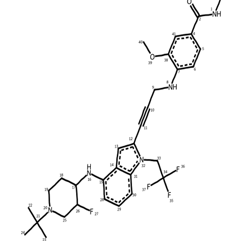 CNC(=O)c1ccc(NCC#Cc2cc3c(NC4CCN(C(C)(C)C)CC4F)cccc3n2CC(F)(F)F)c(OC)c1